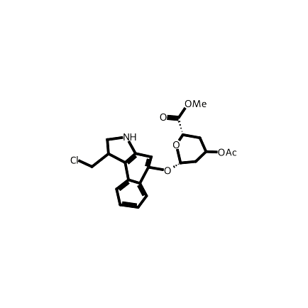 COC(=O)[C@@H]1CC(OC(C)=O)C[C@H](Oc2cc3c(c4ccccc24)C(CCl)CN3)O1